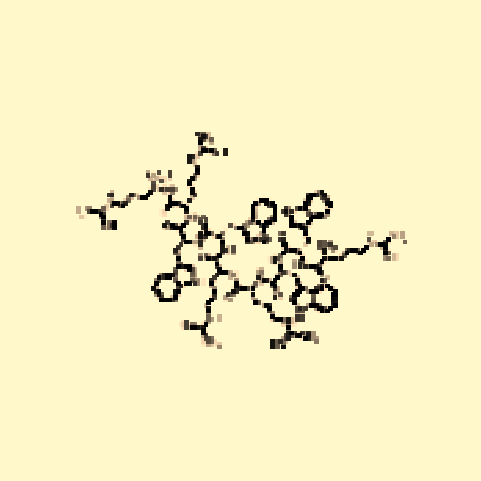 N=C(N)NCCC[C@H](NC(=O)[C@H](CCCNC(=N)N)NC(=O)[C@H](Cc1c[nH]c2ccccc12)NC(=O)[C@H](Cc1c[nH]c2ccccc12)NC(=O)[C@H](CCCNC(=N)N)NC(=O)[C@H](CCCNC(=N)N)NC(=O)[C@H](Cc1c[nH]c2ccccc12)NC(=O)[C@H](Cc1c[nH]c2ccccc12)NC(=O)[C@@H](N)CCCNC(=N)N)C(=O)O